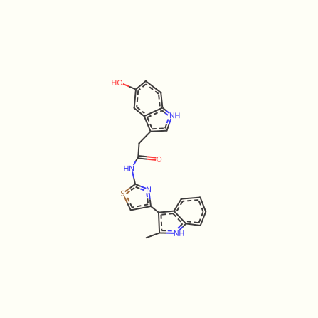 Cc1[nH]c2ccccc2c1-c1csc(NC(=O)Cc2c[nH]c3ccc(O)cc23)n1